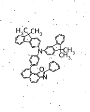 CC1(C)c2ccccc2-c2cc(N(c3ccc(-c4cccc5ccc6nc(-c7ccccc7)oc6c45)cc3)c3ccc4c(c3)-c3ccccc3C4(C)C)ccc21